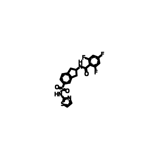 O=C(NC1Cc2ccc(S(=O)(=O)Nc3nccs3)cc2C1)c1c(F)cc(F)cc1F